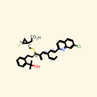 C=C(/C=C(\C=C/C)/C=C/c1ccc2ccc(Cl)cc2n1)[C@@H](CCc1ccccc1C(C)(C)O)SC[C@@]1(CC(=O)O)C[C@H]1F